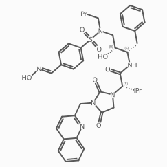 CC(C)CN(C[C@@H](O)[C@H](Cc1ccccc1)NC(=O)[C@H](C(C)C)N1CC(=O)N(Cc2ccc3ccccc3n2)C1=O)S(=O)(=O)c1ccc(C=NO)cc1